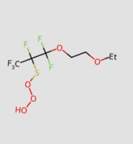 CCOCCOC(F)(F)C(F)(SOOO)C(F)(F)F